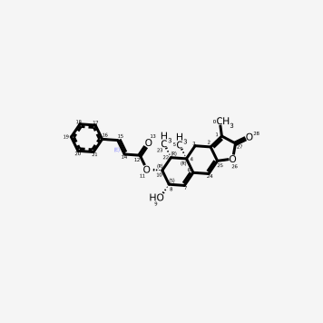 CC1=C2C[C@@]3(C)C(=C[C@H](O)[C@H](OC(=O)/C=C/c4ccccc4)[C@@H]3C)C=C2OC1=O